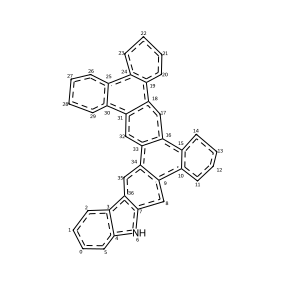 c1ccc2c(c1)[nH]c1cc3c4ccccc4c4cc5c6ccccc6c6ccccc6c5cc4c3cc12